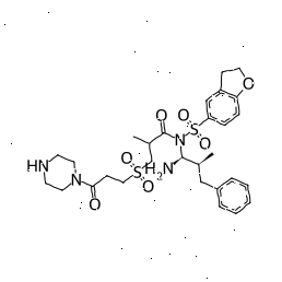 CC(CS(=O)(=O)CCC(=O)N1CCNCC1)C(=O)N([C@H](N)[C@@H](C)Cc1ccccc1)S(=O)(=O)c1ccc2c(c1)CCO2